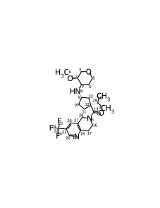 CO[C@H]1COCC[C@H]1N[C@H]1CC[C@@](C(=O)N2CCc3ncc(C(F)(F)F)cc3C2)(C(C)C)C1